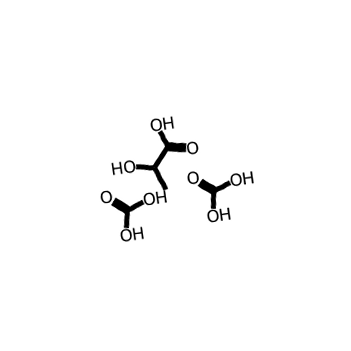 CC(O)C(=O)O.O=C(O)O.O=C(O)O